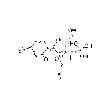 C#CCO[C@H]1[C@@H]([SH]=P(O)(O)O)[C@@H](CO)O[C@H]1n1ccc(N)nc1=O